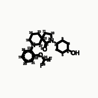 O=C1N([C@H]2CC[C@H](O)CC2)CCC12CCCN(c1ccccc1OC(F)F)C2